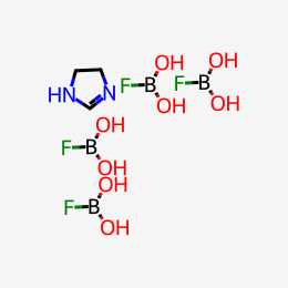 C1=NCCN1.OB(O)F.OB(O)F.OB(O)F.OB(O)F